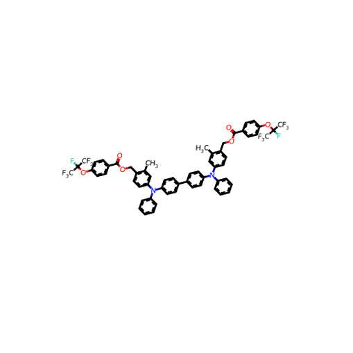 Cc1cc(N(c2ccccc2)c2ccc(-c3ccc(N(c4ccccc4)c4ccc(COC(=O)c5ccc(OC(F)(C(F)(F)F)C(F)(F)F)cc5)c(C)c4)cc3)cc2)ccc1COC(=O)c1ccc(OC(F)(C(F)(F)F)C(F)(F)F)cc1